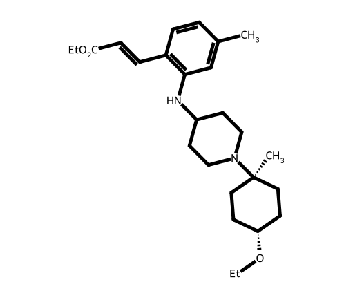 CCOC(=O)/C=C/c1ccc(C)cc1NC1CCN([C@]2(C)CC[C@@H](OCC)CC2)CC1